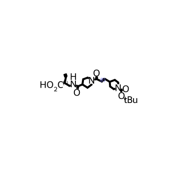 C#C[C@@H](CNC(=O)C1CCN(C(=O)/C=C/C2CCN(C(=O)OC(C)(C)C)CC2)CC1)C(=O)O